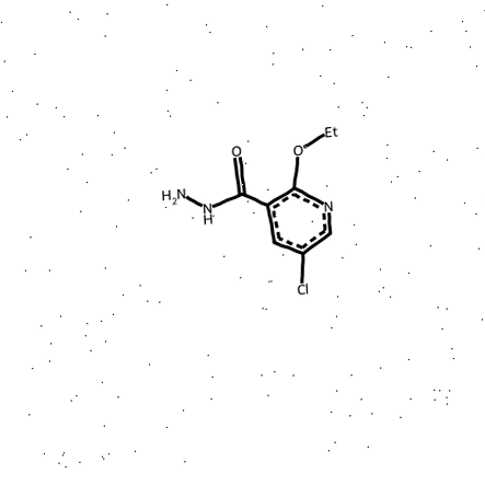 CCOc1ncc(Cl)cc1C(=O)NN